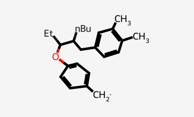 [CH2]c1ccc(OC(CC)C(CCCC)Cc2ccc(C)c(C)c2)cc1